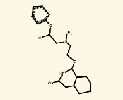 CCCCC1CC2CCCCC2C(OCCN(C)CC(CC)Oc2ccccc2)N1